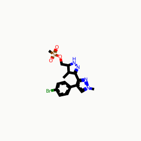 CC1C(c2nn(C)cc2-c2ccc(Br)cc2)=NNC1COS(C)(=O)=O